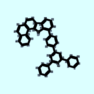 c1ccc(-c2cc(-c3ccc(-c4cccc5c4oc4c5ccc5ccc6ccccc6c54)cc3)nc(-c3ccccc3)n2)cc1